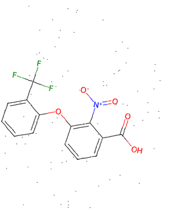 O=C(O)c1cccc(Oc2ccccc2C(F)(F)F)c1[N+](=O)[O-]